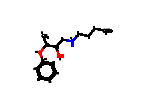 COCCCNCC(O)C(C)Oc1ccccc1